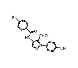 N#Cc1ccc(-n2ncc(NC(=O)c3ccc(Br)cc3)c2C=O)cc1